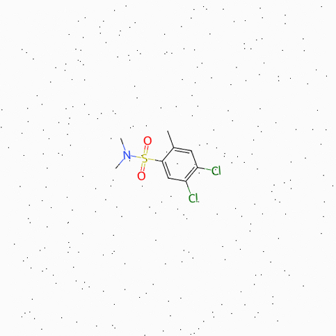 Cc1cc(Cl)c(Cl)cc1S(=O)(=O)N(C)C